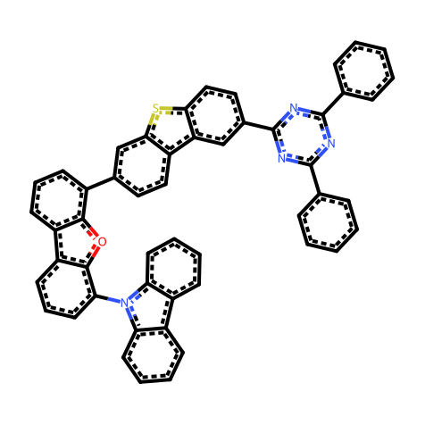 c1ccc(-c2nc(-c3ccccc3)nc(-c3ccc4sc5cc(-c6cccc7c6oc6c(-n8c9ccccc9c9ccccc98)cccc67)ccc5c4c3)n2)cc1